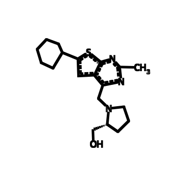 Cc1nc(CN2CCC[C@@H]2CO)c2cc(C3CCCCC3)sc2n1